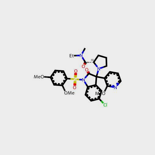 CCN(C)C(=O)[C@@H]1CCCN1C1(c2cccnc2OC)C(=O)N(S(=O)(=O)c2ccc(OC)cc2OC)c2ccc(Cl)cc21